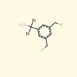 BC(CC)(CC)c1cc(CF)cc(CF)c1